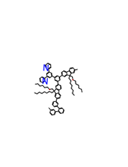 CCCCCCCCC1(CCCCCCCC)c2cc(C)ccc2-c2ccc(-c3cc(-c4cc(-c5ccccn5)cc(-c5ccccn5)c4)cc(-c4ccc5c(c4)C(CCCCCCCC)(CCCCCCCC)c4cc(-c6cccc(-c7ccccc7-c7cccc(C)c7)c6)ccc4-5)c3)cc21